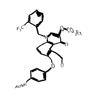 CCOC(=O)Oc1cn(Cc2ccccc2C(F)(F)F)c2ccc(Oc3ccc(NC(C)=O)cc3)c(CCl)c2c1=O